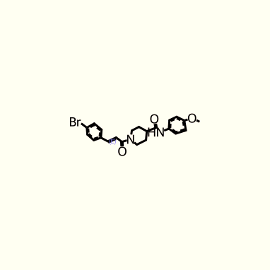 COc1ccc(NC(=O)C2CCN(C(=O)/C=C/c3ccc(Br)cc3)CC2)cc1